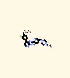 CNCc1ccc(-c2ccnc3[nH]c(-c4ccc(CN5CCN(C)CC5)cn4)nc23)cc1F